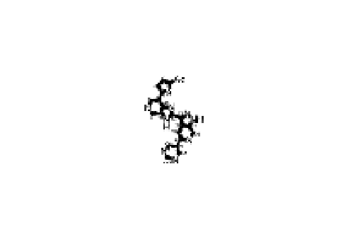 CC(=O)c1ccc(-c2cncc3[nH]c(-c4n[nH]c5cnc(-c6cncnc6)cc45)nc23)s1